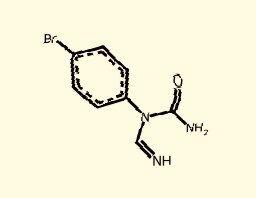 N=CN(C(N)=O)c1ccc(Br)cc1